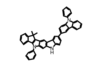 CC1(C)c2ccccc2-c2c1c1cc3c(cc1n2-c1ccccc1)[nH]c1ccc(-c2ccc4c(c2)c2ccccc2n4-c2ccccc2)cc13